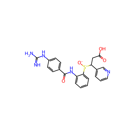 N=C(N)Nc1ccc(C(=O)Nc2ccccc2[S+]([O-])C(CC(=O)O)c2cccnc2)cc1